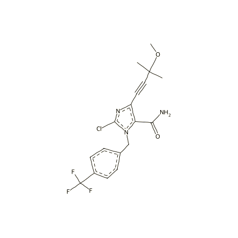 COC(C)(C)C#Cc1nc(Cl)n(Cc2ccc(C(F)(F)F)cc2)c1C(N)=O